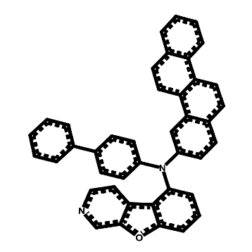 c1ccc(-c2ccc(N(c3ccc4ccc5c6ccccc6ccc5c4c3)c3cccc4oc5cnccc5c34)cc2)cc1